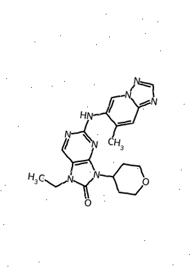 CCn1c(=O)n(C2CCOCC2)c2nc(Nc3cn4ncnc4cc3C)ncc21